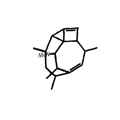 CNC1C(C)C2=CC(C)C3C=C4C(C(C)CC2C)C431